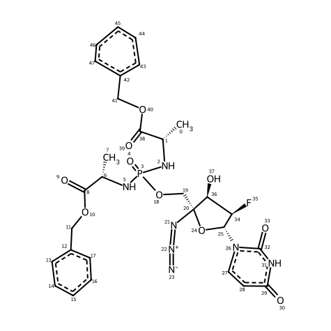 C[C@H](NP(=O)(N[C@@H](C)C(=O)OCc1ccccc1)OC[C@@]1(N=[N+]=[N-])O[C@@H](n2ccc(=O)[nH]c2=O)[C@H](F)[C@@H]1O)C(=O)OCc1ccccc1